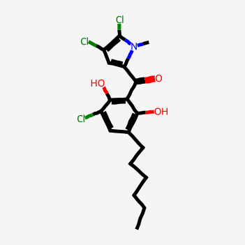 CCCCCCc1cc(Cl)c(O)c(C(=O)c2cc(Cl)c(Cl)n2C)c1O